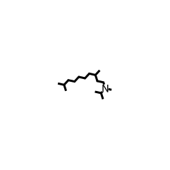 CC(C)CCCCCC(C)CCN(C)C(C)C